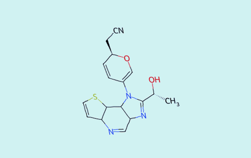 C[C@@H](O)C1=NC2C=NC3C=CSC3C2N1C1=CO[C@H](CC#N)C=C1